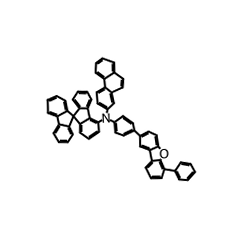 c1ccc(-c2cccc3c2oc2ccc(-c4ccc(N(c5ccc6c(ccc7ccccc76)c5)c5cccc6c5-c5ccccc5C65c6ccccc6-c6ccccc65)cc4)cc23)cc1